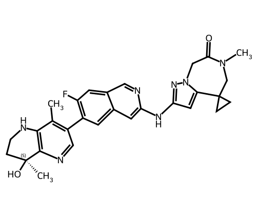 Cc1c(-c2cc3cc(Nc4cc5n(n4)CC(=O)N(C)CC54CC4)ncc3cc2F)cnc2c1NCC[C@]2(C)O